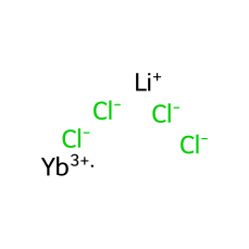 [Cl-].[Cl-].[Cl-].[Cl-].[Li+].[Yb+3]